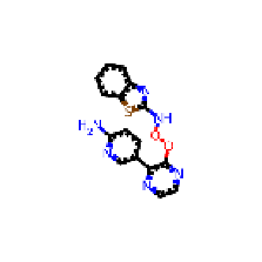 Nc1ccc(-c2nccnc2OONc2nc3ccccc3s2)cn1